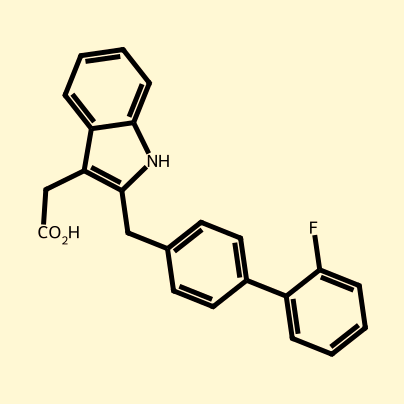 O=C(O)Cc1c(Cc2ccc(-c3ccccc3F)cc2)[nH]c2ccccc12